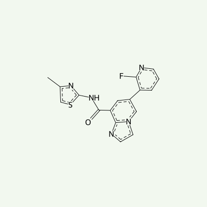 Cc1csc(NC(=O)c2cc(-c3cccnc3F)cn3ccnc23)n1